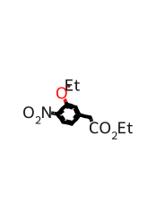 CCOC(=O)Cc1ccc([N+](=O)[O-])c(OCC)c1